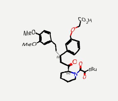 COc1ccc(CC[C@@H](CC(=O)[C@@H]2CCCCN2C(=O)C(=O)C(C)(C)C)c2cccc(OCC(=O)O)c2)cc1OC